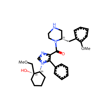 COC[C@]1(O)CCCC[C@H]1n1cnc(C(=O)N2CCNC[C@@H]2Cc2ccccc2OC)c1-c1ccccc1